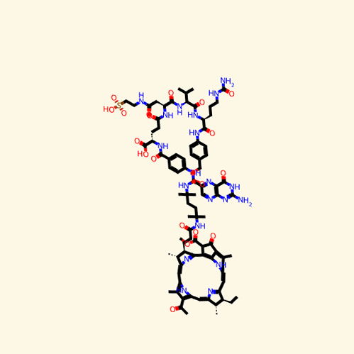 CC[C@@H]1c2cc3[nH]c4c(c3C)C(=O)C(C(=O)OC)c4c3nc(cc4[nH]c(cc(n2)[C@H]1C)c(C(C)=O)c4C)[C@H](C)[C@H]3CCC(=O)NC(C)(C)CCC(C)(C)NC(=O)OCc1ccc(NC(=O)[C@H](CCCNC(N)=O)NC(=O)[C@@H](NC(=O)[C@H](CC(=O)NCCS(=O)(=O)O)NC(=O)CC[C@H](NC(=O)c2ccc(NCc3cnc4nc(N)[nH]c(=O)c4n3)cc2)C(=O)O)C(C)C)cc1